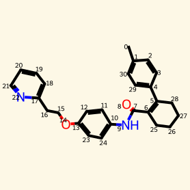 Cc1ccc(C2=C(C(=O)Nc3ccc(OCCc4ccccn4)cc3)CCCC2)cc1